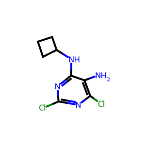 Nc1c(Cl)nc(Cl)nc1NC1CCC1